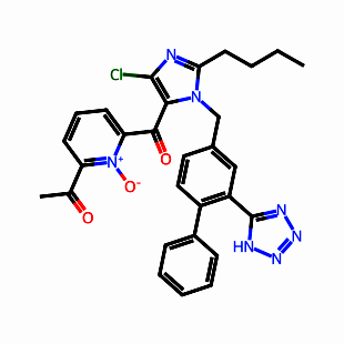 CCCCc1nc(Cl)c(C(=O)c2cccc(C(C)=O)[n+]2[O-])n1Cc1ccc(-c2ccccc2)c(-c2nnn[nH]2)c1